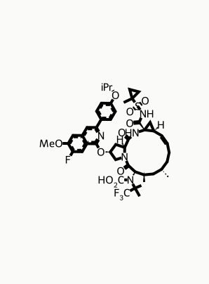 COc1cc2cc(-c3ccc(OC(C)C)cc3)nc(O[C@@H]3C[C@H]4C(=O)N[C@]5(C(=O)NS(=O)(=O)C6(C)CC6)C[C@H]5C=CCC[C@H](C)C[C@@H](C)[C@H](N(C(=O)O)C(C)(C)C(F)(F)F)C(=O)N4C3)c2cc1F